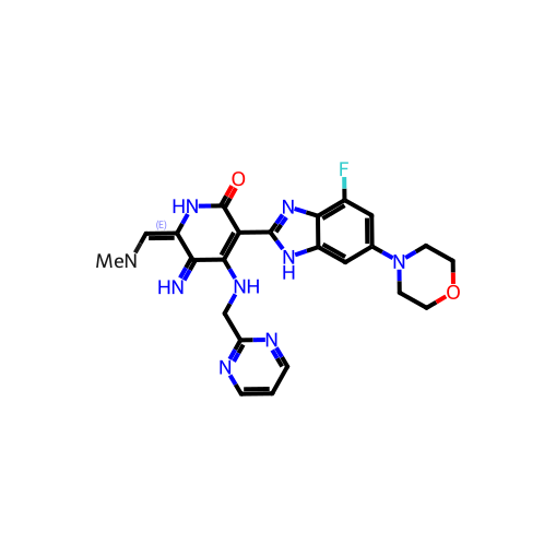 CN/C=C1/NC(=O)C(c2nc3c(F)cc(N4CCOCC4)cc3[nH]2)=C(NCc2ncccn2)C1=N